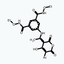 CCONC(=O)c1cc(NC(C)=C2C(=O)OC(=O)C(C(C)=O)=C2O)cc(C(=O)NOCC)c1